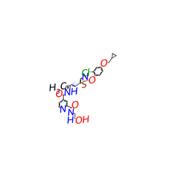 C[C@@H](/C=C/c1cnc(Oc2ccc(OCC3CC3)cc2Cl)s1)NC(=O)c1ccnc(C(=O)NCCO)c1